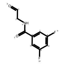 O=[C]CNC(=O)c1cc(F)cc(F)c1